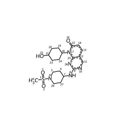 CS(=O)(=O)N1CCC(Nc2ncc3ccc(=O)n(C4CCC(O)CC4)c3n2)CC1